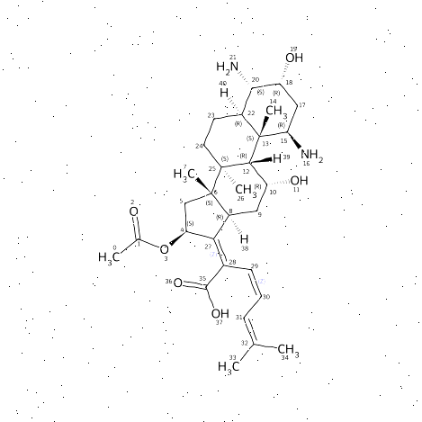 CC(=O)O[C@H]1C[C@@]2(C)[C@@H](C[C@@H](O)[C@H]3[C@@]4(C)[C@H](N)C[C@@H](O)[C@@H](N)[C@@H]4CC[C@@]32C)/C1=C(\C=C/C=C(C)C)C(=O)O